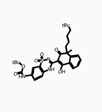 CC(C)(C)CCCCC1(C)C(=O)C(C2=NS(=O)(=O)c3cc(NC(=O)OC(C)(C)C)ccc3N2)=C(O)c2ccccc21